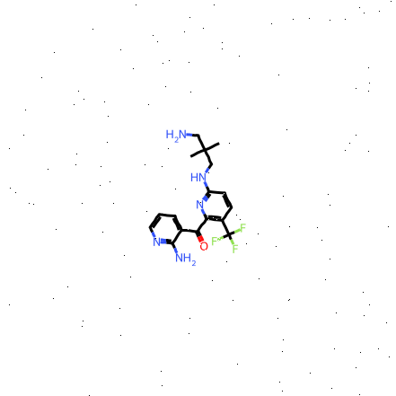 CC(C)(CN)CNc1ccc(C(F)(F)F)c(C(=O)c2cccnc2N)n1